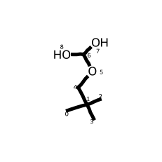 CC(C)(C)COC(O)O